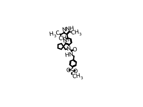 CCS(=O)(=O)c1ccc(CNC(=O)N2CC3(CCCC3)c3nc(-c4c(C(C)C)n[nH]c4C)ccc32)cc1